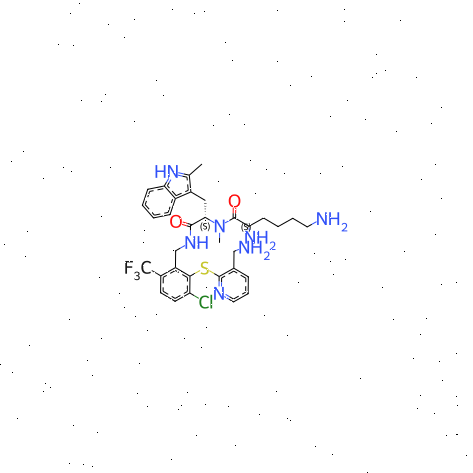 Cc1[nH]c2ccccc2c1C[C@@H](C(=O)NCc1c(C(F)(F)F)ccc(Cl)c1Sc1ncccc1CN)N(C)C(=O)[C@@H](N)CCCCN